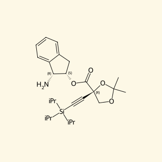 CC(C)[Si](C#C[C@]1(C(=O)O[C@H]2Cc3ccccc3[C@H]2N)COC(C)(C)O1)(C(C)C)C(C)C